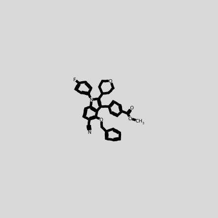 COC(=O)c1ccc(-c2c(C3CCOCC3)n(-c3ccc(F)cc3)c3ccc(C#N)c(OCc4ccccc4)c23)cc1